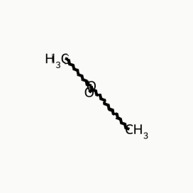 CCCCCCCCC=CCCCCCCCC(=O)OC=CCCCCCCCCC